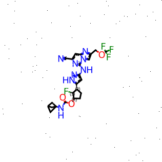 N#Cc1cc2nc(COC(F)(F)F)cn2c(Nc2cc([C@H]3CC[C@@H](OC(=O)NC45CC(C4)C5)[C@H]3F)[nH]n2)n1